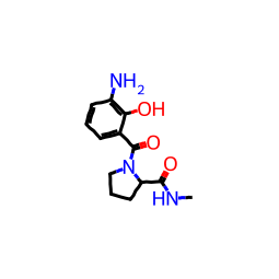 CNC(=O)C1CCCN1C(=O)c1cccc(N)c1O